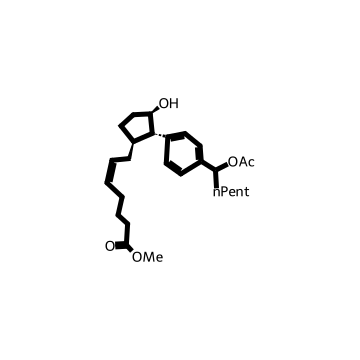 CCCCCC(OC(C)=O)c1ccc([C@@H]2[C@@H](C/C=C\CCCC(=O)OC)CC[C@H]2O)cc1